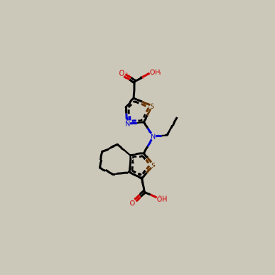 CCN(c1ncc(C(=O)O)s1)c1sc(C(=O)O)c2c1CCCC2